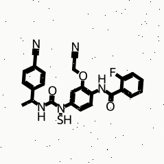 CC(NC(=O)N(S)c1ccc(NC(=O)c2ccccc2F)c(OCC#N)c1)c1ccc(C#N)cc1